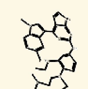 CCNc1cc(Nc2nc(-c3cn(C)c4ccc(F)cc34)c3cc[nH]c3n2)ccc1N(CC)CCN(C)C